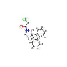 O=C(CCl)N1CCC(c2ccccc2)(c2ccccc2)C1